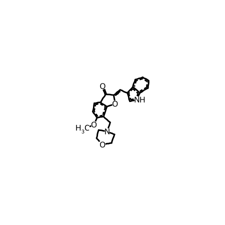 COc1ccc2c(c1CN1CCOCC1)OC(=Cc1c[nH]c3ccccc13)C2=O